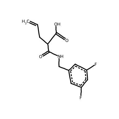 C=CCC(C(=O)O)C(=O)NCc1cc(F)cc(F)c1